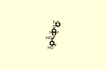 Oc1ccc(C(O)CN2C[C@H]3C[C@H](Oc4cccnc4F)C[C@H]3C2)cc1F